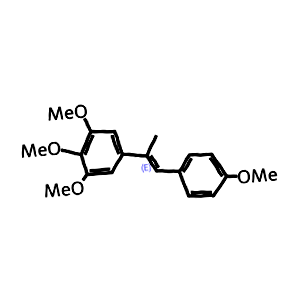 COc1ccc(/C=C(\C)c2cc(OC)c(OC)c(OC)c2)cc1